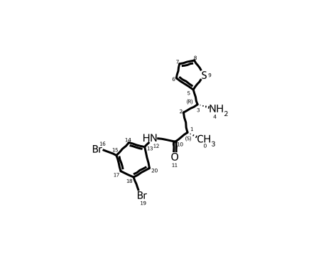 C[C@@H](C[C@@H](N)c1cccs1)C(=O)Nc1cc(Br)cc(Br)c1